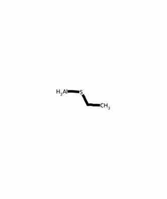 CC[S][AlH2]